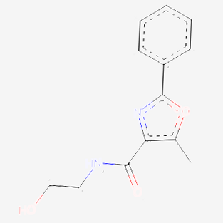 Cc1oc(-c2ccccc2)nc1C(=O)NCCO